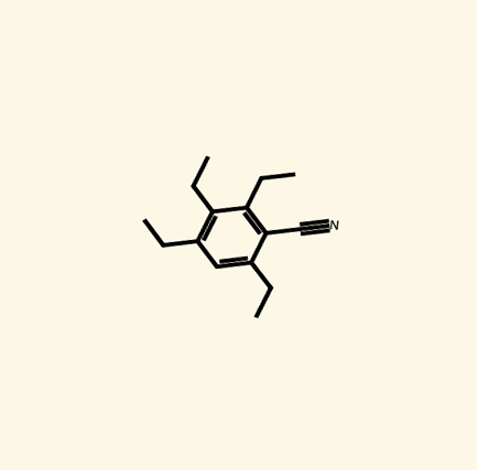 CCc1cc(CC)c(CC)c(CC)c1C#N